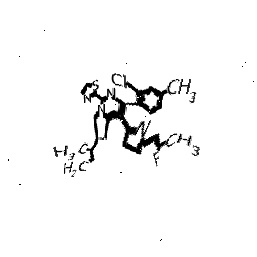 C=C[C@@H](C)[C@H]1CC2=C(C3=N/C(=C/C(C)F)C=C3)[C@H](c3ccc(C)cc3Cl)N=C(c3nccs3)N2C1